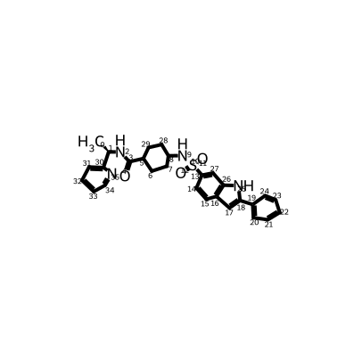 C[C@@H](NC(=O)C1CCC(NS(=O)(=O)c2ccc3cc(-c4ccccc4)[nH]c3c2)CC1)c1ccccn1